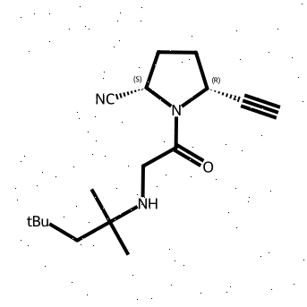 C#C[C@H]1CC[C@@H](C#N)N1C(=O)CNC(C)(C)CC(C)(C)C